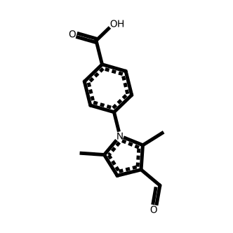 Cc1cc(C=O)c(C)n1-c1ccc(C(=O)O)cc1